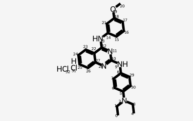 CCN(CC)c1ccc(Nc2nc(Nc3cccc(OC)c3)c3ccccc3n2)cc1.Cl.Cl